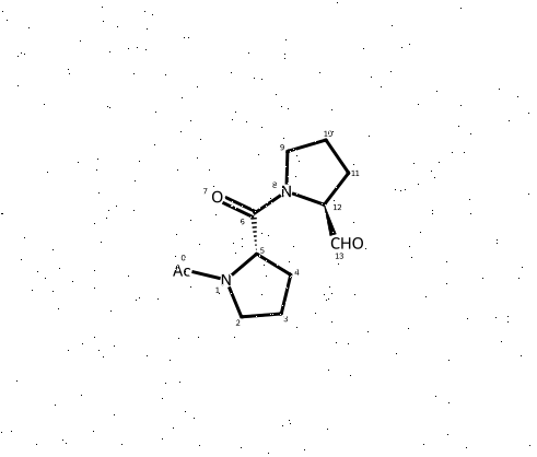 CC(=O)N1CCC[C@H]1C(=O)N1CCC[C@H]1C=O